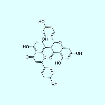 O=C1c2c(O)cc(O)cc2O[C@@H](c2ccc(O)cc2)[C@@H]1c1c(O)cc(O)c2c(=O)cc(-c3ccc(O)cc3)oc12